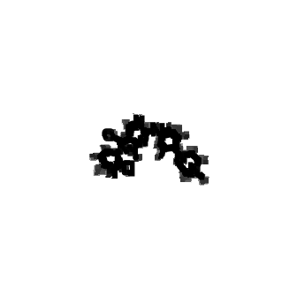 Cc1cc(Nc2ncc3c(=O)n(-c4cccnc4Cl)n(C)c3n2)ccc1N1CCN(C)CC1